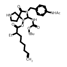 C=CCCCCC(CC)C(=O)ON1C(NC(=O)OC(C)(C)C)N(Cc2ccc(NC(C)=O)cc2)C(=O)C12CCNC2